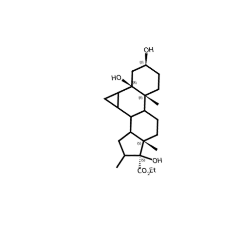 CCOC(=O)[C@]1(O)C(C)CC2C3C4CC4[C@]4(O)C[C@@H](O)CC[C@]4(C)C3CC[C@@]21C